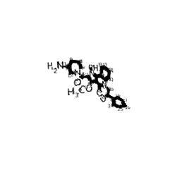 COc1c(C(=O)N2CCC[C@H](N)C2)n(C)c2c1c(=O)n(CC(=O)c1ccccc1)c1ccccc21